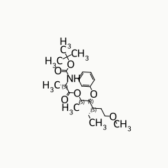 CC[C@@H](CCOC)[C@@H](Oc1ccccc1)[C@H](C)OC(=O)[C@H](C)NC(=O)OC(C)(C)C